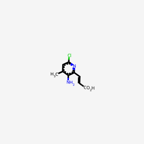 Cc1cc(Cl)nc(C=CC(=O)O)c1N